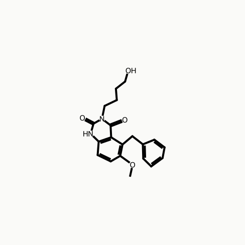 COc1ccc2[nH]c(=O)n(CCCCO)c(=O)c2c1Cc1ccccc1